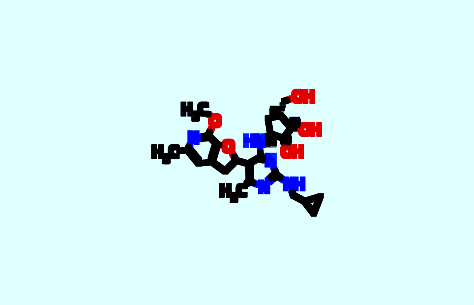 COc1nc(C)cc2c1OC(c1c(C)nc(NCC3CC3)nc1N[C@@H]1C[C@H](CO)[C@@H](O)[C@H]1O)C2